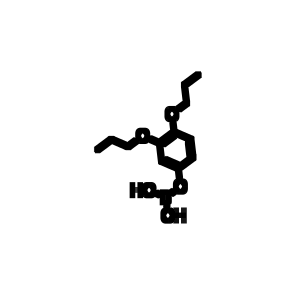 CCCOc1ccc(OB(O)O)cc1OCCC